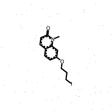 Cn1c(=O)ccc2ccc(OCCCI)cc21